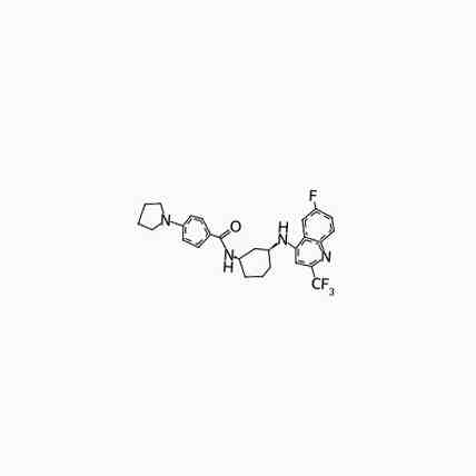 O=C(N[C@@H]1CCC[C@H](Nc2cc(C(F)(F)F)nc3ccc(F)cc23)C1)c1ccc(N2CCCC2)cc1